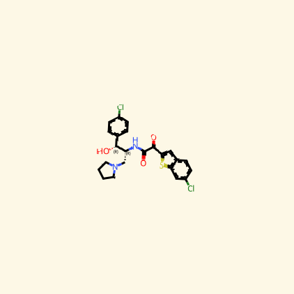 O=C(N[C@H](CN1CCCC1)[C@H](O)c1ccc(Cl)cc1)C(=O)c1cc2ccc(Cl)cc2s1